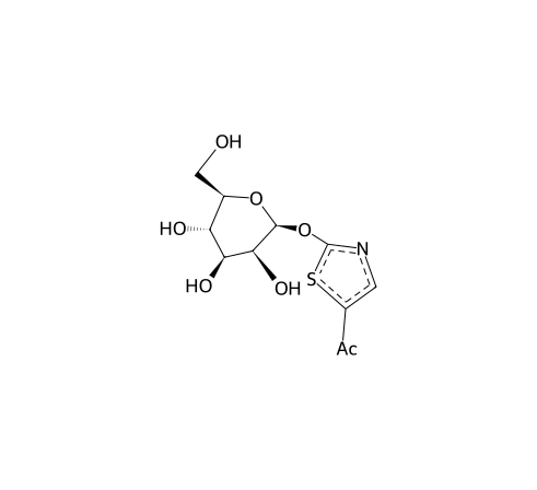 CC(=O)c1cnc(O[C@@H]2O[C@H](CO)[C@@H](O)[C@H](O)[C@@H]2O)s1